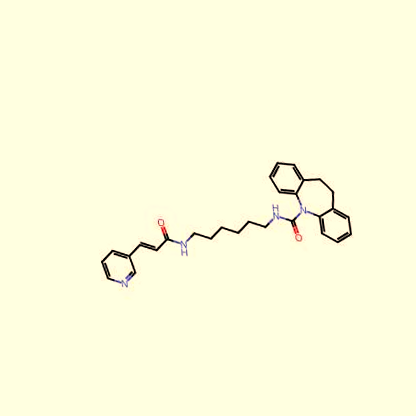 O=C(C=Cc1cccnc1)NCCCCCCNC(=O)N1c2ccccc2CCc2ccccc21